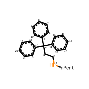 CCCCCPCCC(c1ccccc1)(c1ccccc1)c1ccccc1